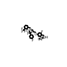 CS(=O)(=O)c1cc(OCCCN(Cc2cccc(C(F)(F)F)c2Cl)CC(F)(F)c2ccc(F)cc2)cc(F)c1CO